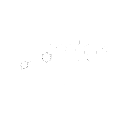 CCCCCCCCCCN1C(C(=O)NC[C@H](O)CN2CCc3c(ccc(OCc4cnco4)c3Cl)C2)CC(NC2COC2)NC1N(C)CCC